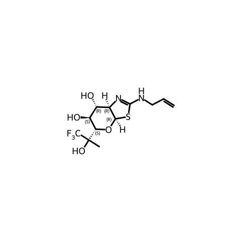 C=CCNC1=N[C@@H]2[C@@H](O)[C@H](O)[C@@H](C(C)(O)C(F)(F)F)O[C@@H]2S1